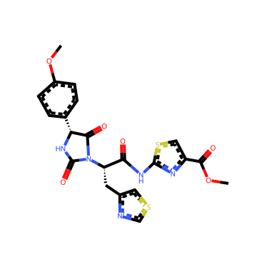 COC(=O)c1csc(NC(=O)[C@H](Cc2cscn2)N2C(=O)N[C@H](c3ccc(OC)cc3)C2=O)n1